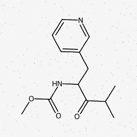 COC(=O)NC(Cc1cccnc1)C(=O)C(C)C